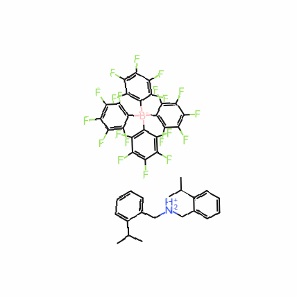 CC(C)c1ccccc1C[NH2+]Cc1ccccc1C(C)C.Fc1c(F)c(F)c([B-](c2c(F)c(F)c(F)c(F)c2F)(c2c(F)c(F)c(F)c(F)c2F)c2c(F)c(F)c(F)c(F)c2F)c(F)c1F